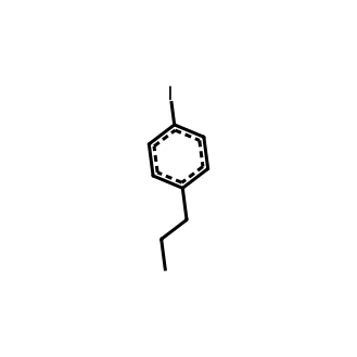 CCCc1ccc(I)cc1